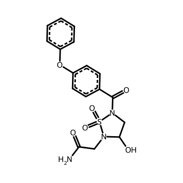 NC(=O)CN1C(O)CN(C(=O)c2ccc(Oc3ccccc3)cc2)S1(=O)=O